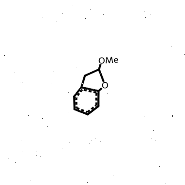 [CH2]OC1Cc2ccccc2O1